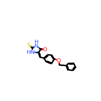 O=C1NC(=S)NC1=Cc1ccc(OCc2ccccc2)cc1